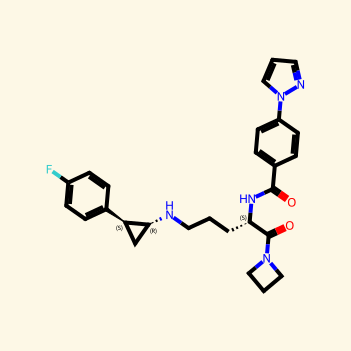 O=C(N[C@@H](CCCN[C@@H]1C[C@H]1c1ccc(F)cc1)C(=O)N1CCC1)c1ccc(-n2cccn2)cc1